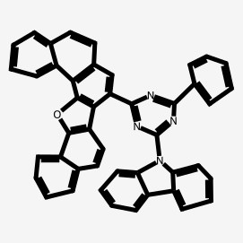 c1ccc(-c2nc(-c3cc4ccc5ccccc5c4c4oc5c6ccccc6ccc5c34)nc(-n3c4ccccc4c4ccccc43)n2)cc1